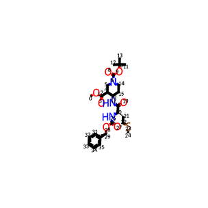 COC(=O)C1CN(C(=O)OC(C)(C)C)CCC1NC(=O)[C@H](CCSC)NC(=O)OCc1ccccc1